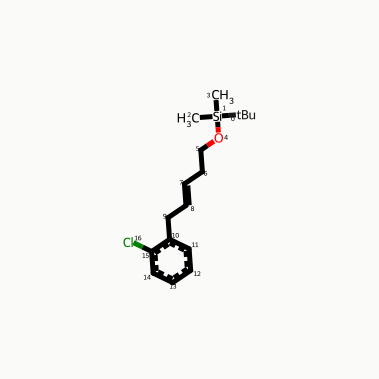 CC(C)(C)[Si](C)(C)OCC/C=C/Cc1ccccc1Cl